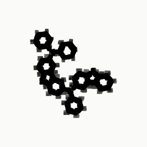 C1=CCCC(N(c2ccccc2)c2ccc3sc4ccc(N(c5ccccc5)c5ccc6sc7ccccc7c6c5)cc4c3c2)=C1